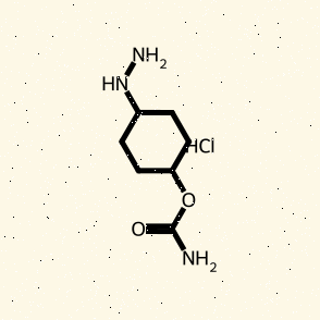 Cl.NNC1CCC(OC(N)=O)CC1